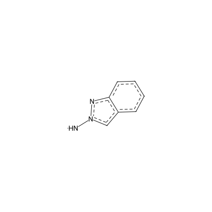 [NH]n1cc2ccccc2n1